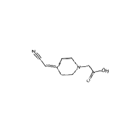 N#CC=C1CCN(CC(=O)O)CC1